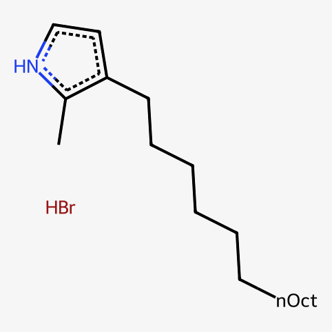 Br.CCCCCCCCCCCCCCc1cc[nH]c1C